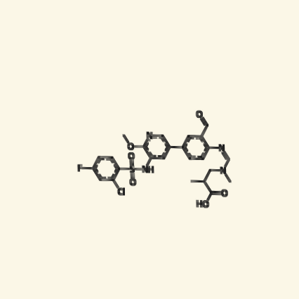 COc1ncc(-c2ccc(/N=C\N(C)CC(C)C(=O)O)c(C=O)c2)cc1NS(=O)(=O)c1ccc(F)cc1Cl